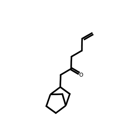 C=CCCC(=O)CC1CC2CCC1C2